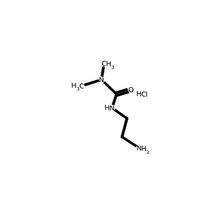 CN(C)C(=O)NCCN.Cl